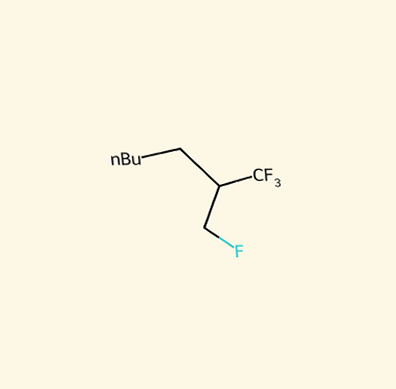 CCCCCC(CF)C(F)(F)F